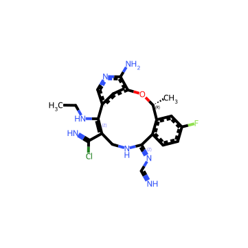 CCN/C1=C(\C(=N)Cl)CN/C(=N\C=N)c2ccc(F)cc2[C@@H](C)Oc2cc1cnc2N